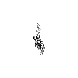 CCCCCCCOC(=O)c1ccc(C2OCC(CC)CO2)c(F)c1